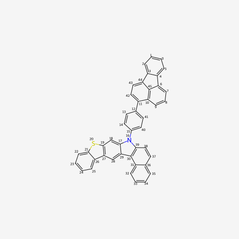 c1ccc2c(c1)-c1cccc3c(-c4ccc(-n5c6cc7sc8ccccc8c7cc6c6c7ccccc7ccc65)cc4)ccc-2c13